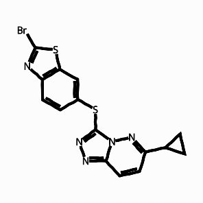 Brc1nc2ccc(Sc3nnc4ccc(C5CC5)nn34)cc2s1